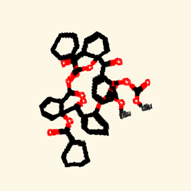 CC(C)(C)OC(=O)Oc1ccccc1C(=O)C1(OC(=O)C2CCCCC2)C=CC=CC1C(=O)OOC(=O)C1C=CC=CC1(OC(=O)C1CCCCC1)C(=O)c1ccccc1OC(=O)OC(C)(C)C